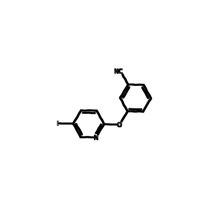 N#Cc1cccc(Oc2ccc(I)cn2)c1